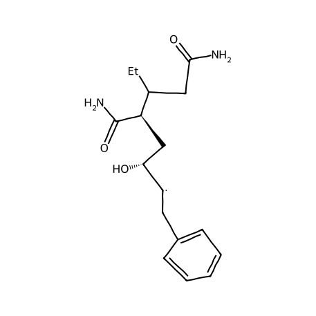 CCC(CC(N)=O)[C@@H](C[C@@H](O)[CH]Cc1ccccc1)C(N)=O